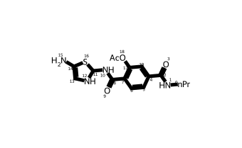 CCCNC(=O)c1ccc(C(=O)NC2NC=C(N)S2)c(OC(C)=O)c1